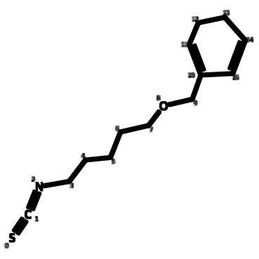 S=C=NCCCCCOCC1=CCCC=C1